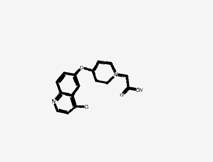 O=C(O)CN1CCC(Oc2ccc3nccc(Cl)c3c2)CC1